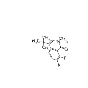 Cn1cc(C(C)(C)C)c2ccc(F)c(F)c2c1=O